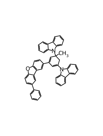 CC1(n2c3ccccc3c3ccccc32)C=C(c2ccc3oc4ccc(-c5ccccc5)cc4c3c2)C=C(n2c3ccccc3c3ccccc32)C1